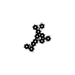 c1ccc(-n2c3ccccc3c3ccc(-c4ccc5c(c4)c4c(-n6c7ccccc7c7cc8cc9c(cc8cc76)c6cccc7c8ccccc8n9c76)cccc4n5-c4ccccc4)cc32)cc1